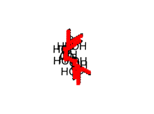 CCCCCC/C=C/CCCC(=O)OC(CCCCCCCCCCC)CC(=O)NC(COCC[C@H](O)CCCCCCC)COP(=O)(O)OCCNC(=O)c1cc(O)cc(C(=O)NCCOP(=O)(O)OCC(COCC[C@H](O)CCCCCCC)NC(=O)CC(CCCCCCCCCCC)OC(=O)CCC/C=C/CCCCCC)c1